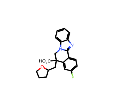 O=C(O)C1(CC2CCCO2)Cn2c(nc3ccccc32)-c2ccc(F)cc21